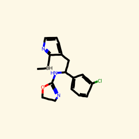 CBc1ncccc1CC(NC1=NCCO1)c1cccc(Cl)c1